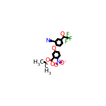 CC(C)OC(=O)c1cc(Oc2ccc(C(=O)C(F)(F)F)cc2C#N)ccc1[N+](=O)[O-]